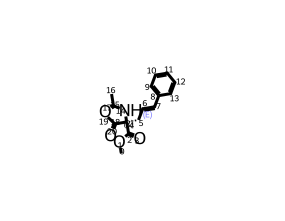 COC(=O)[C@](C/C=C/c1ccccc1)(NC(C)=O)C(C)=O